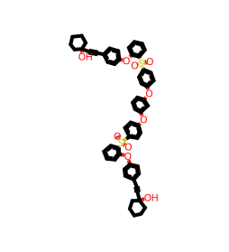 O=S(=O)(c1ccc(Oc2cccc(Oc3ccc(S(=O)(=O)c4ccccc4Oc4ccc(C#CC5(O)CCCCC5)cc4)cc3)c2)cc1)c1ccccc1Oc1ccc(C#CC2(O)CCCCC2)cc1